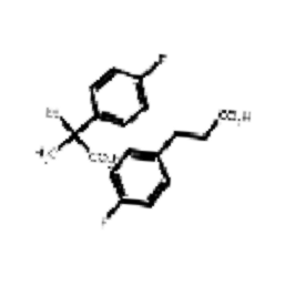 CCC(C)(C(=O)O)c1ccc(F)cc1.O=C(O)CCc1ccc(F)cc1